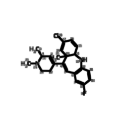 C[C@H]1C=C(C2=Cc3cc(F)ccc3NC3C=CC(Cl)=CC23C)CCN1C